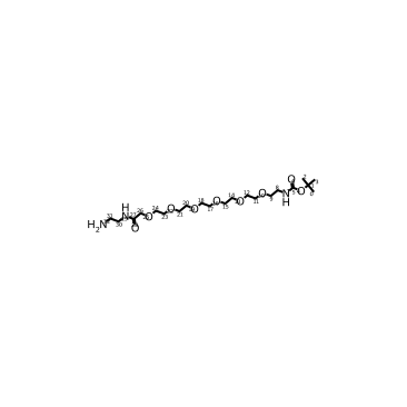 CC(C)(C)OC(=O)NCCOCCOCCOCCOCCOCCOCC(=O)NCCN